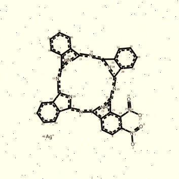 O=[N+]([O-])c1ccc2c3nc4nc(nc5[nH]c(nc6nc(nc([nH]3)c2c1[N+](=O)[O-])-c1ccccc1-6)c1ccccc51)-c1ccccc1-4.[Ag+]